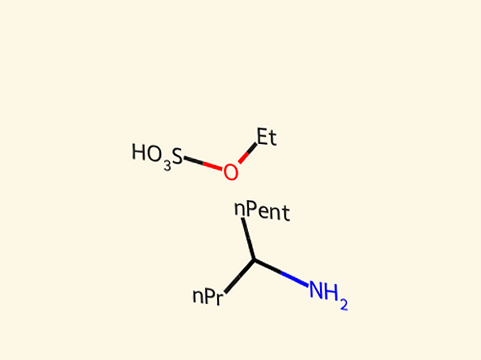 CCCCCC(N)CCC.CCOS(=O)(=O)O